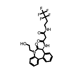 O=C(CC(=O)N[C@@H]1C(=O)N(CCO)c2ccccc2-c2ccccc21)NCCC(F)(F)C(F)(F)F